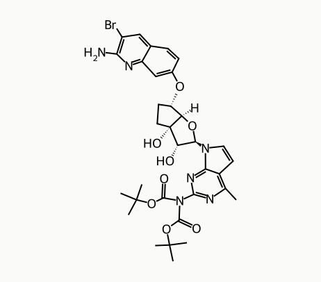 Cc1nc(N(C(=O)OC(C)(C)C)C(=O)OC(C)(C)C)nc2c1ccn2[C@@H]1O[C@@H]2[C@@H](Oc3ccc4cc(Br)c(N)nc4c3)CC[C@]2(O)[C@H]1O